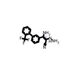 N#C/C(NN)=C(/N)c1cccc(-c2ccccc2C(F)(F)F)c1